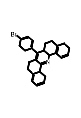 BrC1=CC=C(C2=C3CCC4=CC=CCC4C3=NC3C4=C(CCC=C4)CCC23)CC1